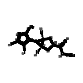 CC(C)c1nc(I)c(I)n1C1[C@H]2CN(C(=O)OC(C)(C)C)C[C@@H]12